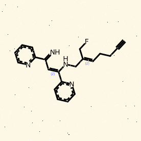 C#CCC/C=C(\CF)CN/C(=C\C(=N)c1ccccn1)c1ccccn1